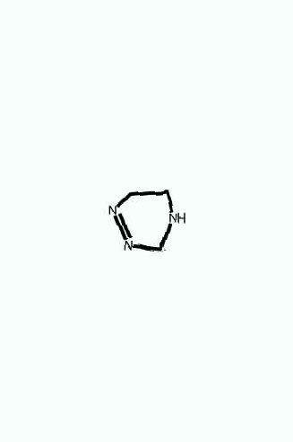 [CH]1N=NCCN1